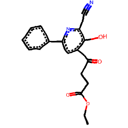 CCOC(=O)CCC(=O)c1cc(-c2ccccc2)nc(C#N)c1O